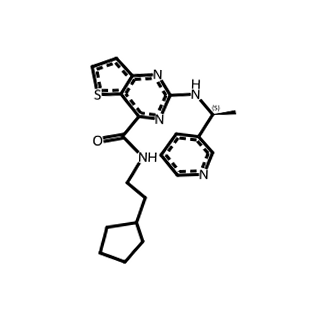 C[C@H](Nc1nc(C(=O)NCCC2CCCC2)c2sccc2n1)c1cccnc1